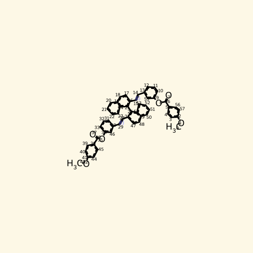 COc1ccc(C(=O)Oc2cccc(/C=C/c3ccc4ccccc4c3-c3c(/C=C/c4cccc(OC(=O)c5ccc(OC)cc5)c4)ccc4ccccc34)c2)cc1